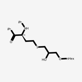 CCCCCCOCC(O)CSCC[C@H](NC(C)C)C(=O)C(C)C